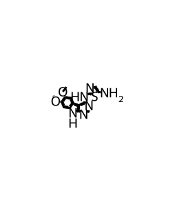 COc1cc2[nH]c3ncnc(Nc4ncc(N)s4)c3c2cc1OC